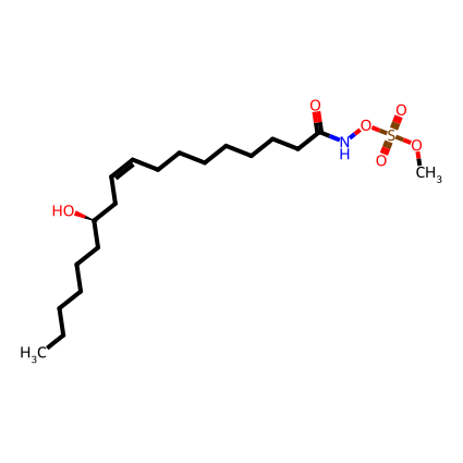 CCCCCC[C@@H](O)C/C=C\CCCCCCCC(=O)NOS(=O)(=O)OC